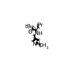 CC(C)C[C@@H](NCc1cnn(C)c1)C(=O)C(C)(C)C